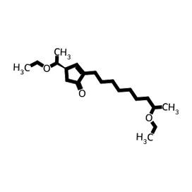 CCOC(C)CCCCCCCC1=C[C@H](C(C)OCC)CC1=O